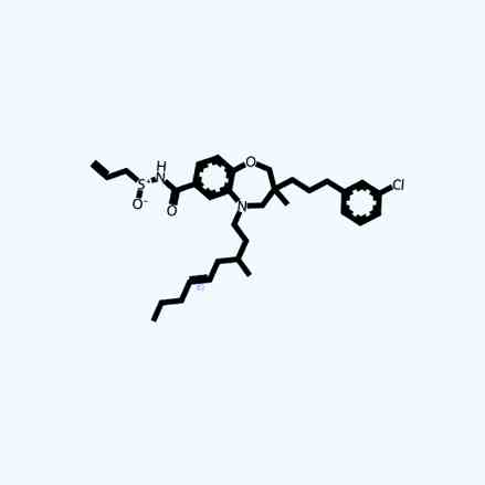 C=CC[S+]([O-])NC(=O)c1ccc2c(c1)N(CCC(C)C/C=C/CCC)CC(C)(CCCc1cccc(Cl)c1)CO2